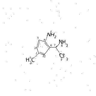 Cc1ccc(N)c(C(N)C(F)(F)F)c1